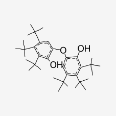 CC(C)(C)c1cc(Oc2cc(C(C)(C)C)c(C(C)(C)C)c(C(C)(C)C)c2O)c(O)c(C(C)(C)C)c1C(C)(C)C